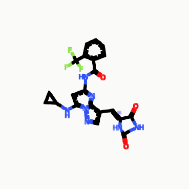 O=C1NC(=O)/C(=C/c2cnn3c(NC4CC4)cc(NC(=O)c4ccccc4C(F)(F)F)nc23)N1